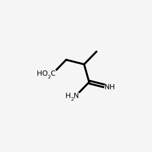 CC(CC(=O)O)C(=N)N